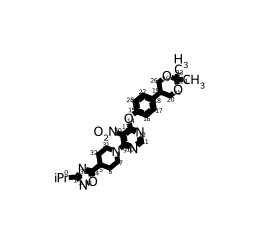 CC(C)c1noc(C2CCN(c3ncnc(Oc4ccc(C5COC(C)(C)OC5)cc4)c3[N+](=O)[O-])CC2)n1